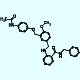 COc1ccc(CNc2ccccc2C(=O)NCc2ccccc2)cc1COc1ccc(NC(C)=O)cc1